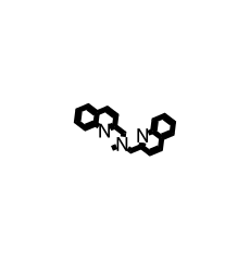 CN(Cc1ccc2ccccc2n1)Cc1ccc2ccccc2n1